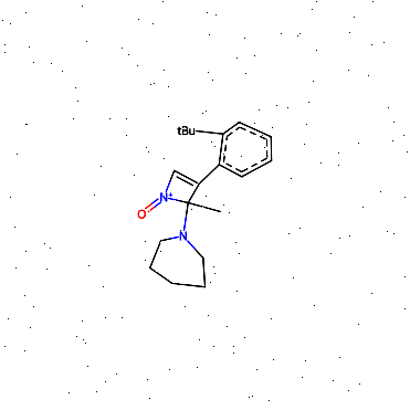 CC(C)(C)c1ccccc1C1=C[N+](=O)C1(C)N1CCCCC1